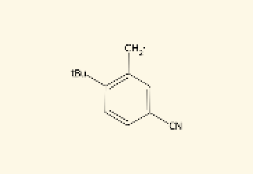 [CH2]c1cc(C#N)ccc1C(C)(C)C